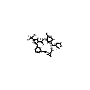 N#Cc1cccc(-n2nc(C(F)(F)F)cc2C(=O)Nc2cc(C(OCC3CC3)c3cccnc3)ccc2F)c1